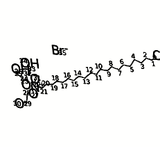 CCCCCCCCCCCCCCCCCCCCCC[N+](OCCO)(OCCO)OCCO.[Br-]